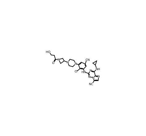 N#Cc1cc(Nc2nc(NC3CC3)c3ncc(C#N)n3n2)c(Cl)c(N2CCN(C3CN(C(=O)CCO)C3)CC2)c1